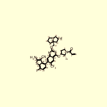 C=CC(=O)N1CC[C@@H](Oc2nc(OC[C@@]34CCCN3C[C@H](F)C4)nc3cc(-c4ccc(F)c5sc(N)c(C#N)c45)c(C(F)(F)F)cc23)[C@H]1C